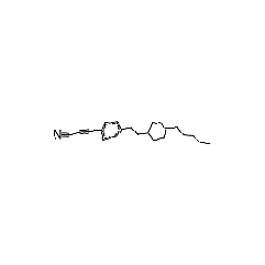 CCCCCC1CCC(CCc2ccc(C#CC#N)cc2)CC1